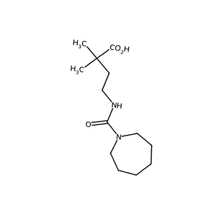 CC(C)(CCNC(=O)N1CCCCCC1)C(=O)O